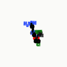 CCN(CC)CCN(c1ccc2c(c1)nc(CCc1ccc(C(=N)N)cc1)n2C)S(=O)(=O)c1cccc2c(Cl)cccc12.Cl.Cl